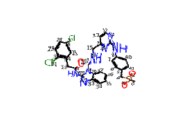 CS(=O)(=O)Cc1ccc(Nc2nccc(CNCn3c(NC(=O)Cc4cc(Cl)ccc4Cl)nc4ccccc43)n2)cc1